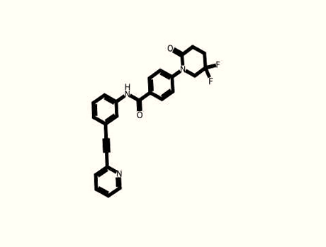 O=C(Nc1cccc(C#Cc2ccccn2)c1)c1ccc(N2CC(F)(F)CCC2=O)cc1